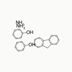 N.N.Oc1ccccc1.Oc1ccccc1.c1ccc2c(c1)Cc1ccccc1-2